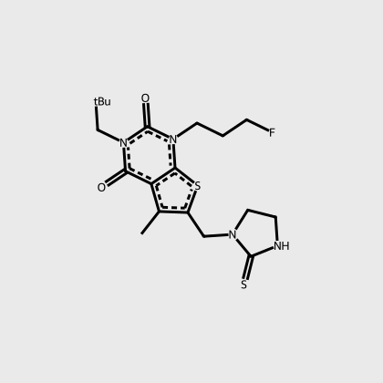 Cc1c(CN2CCNC2=S)sc2c1c(=O)n(CC(C)(C)C)c(=O)n2CCCF